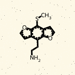 CSc1c2ccoc2c(CCN)c2ccoc12